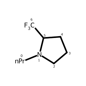 CCCN1CCCC1C(F)(F)F